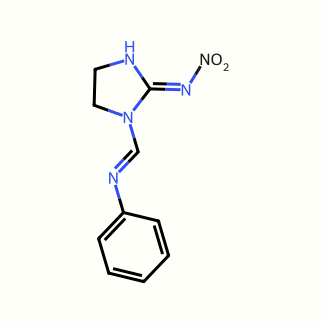 O=[N+]([O-])/N=C1\NCCN1/C=N/c1ccccc1